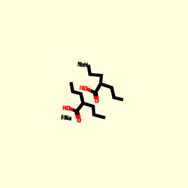 CCCC(CCC)C(=O)O.CCCC(CCC)C(=O)O.[NaH].[NaH]